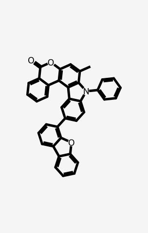 Cc1cc2oc(=O)c3ccccc3c2c2c3cc(-c4cccc5c4oc4ccccc45)ccc3n(-c3ccccc3)c12